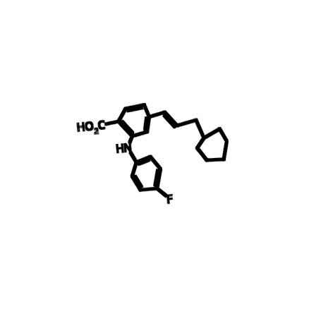 O=C(O)c1ccc(/C=C/CC2CCCCC2)cc1Nc1ccc(F)cc1